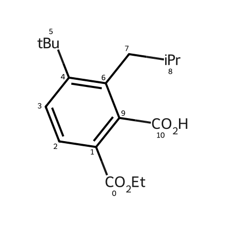 CCOC(=O)c1ccc(C(C)(C)C)c(CC(C)C)c1C(=O)O